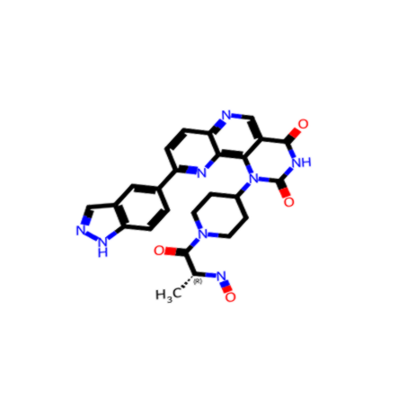 C[C@@H](N=O)C(=O)N1CCC(n2c(=O)[nH]c(=O)c3cnc4ccc(-c5ccc6[nH]ncc6c5)nc4c32)CC1